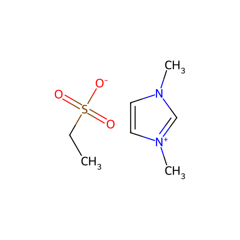 CCS(=O)(=O)[O-].Cn1cc[n+](C)c1